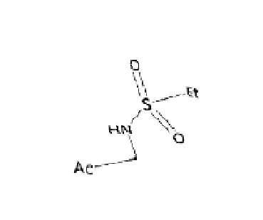 [CH2]CS(=O)(=O)NCC(C)=O